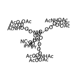 CC(=O)NC1C(OCCOCCOCCCC(=O)CN(CC(=O)NCCOCCOCCOC2OC(COC(C)=O)C(OC(C)=O)C(OC(C)=O)C2NC(C)=O)C(Cc2ccc(OP(OCCC#N)N(C(C)C)C(C)C)cc2)C(=O)NCCOCCOCCOC2OC(COC(C)=O)C(OC(C)=O)C(OC(C)=O)C2NC(C)=O)OC(COC(C)=O)C(OC(C)=O)C1OC(C)=O